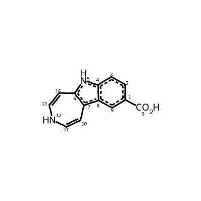 O=C(O)c1ccc2[nH]c3c(c2c1)C=CNC=C3